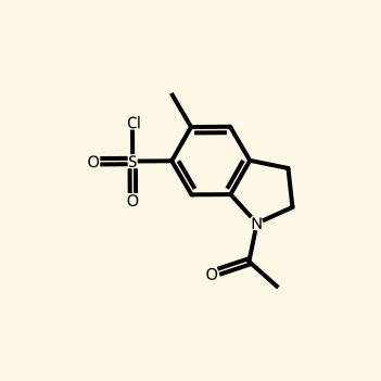 CC(=O)N1CCc2cc(C)c(S(=O)(=O)Cl)cc21